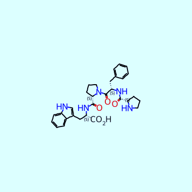 O=C(O)[C@H](Cc1c[nH]c2ccccc12)NC(=O)[C@@H]1CCCN1C(=O)[C@H](Cc1ccccc1)NC(=O)[C@@H]1CCCN1